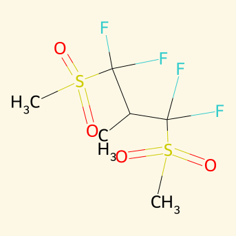 CC(C(F)(F)S(C)(=O)=O)C(F)(F)S(C)(=O)=O